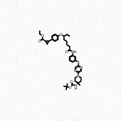 CCOC(=O)C1CC1c1ccc(OC(CC)CCCCC(=O)Nc2cccc(Sc3cnc(N4CCC(C)(NC(=O)OC(C)(C)C)CC4)cn3)c2)cc1